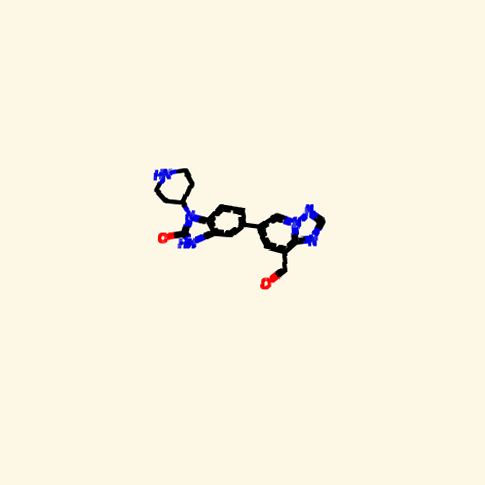 O=Cc1cc(-c2ccc3c(c2)[nH]c(=O)n3C2CCNCC2)cn2ncnc12